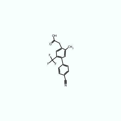 Cc1cc(-c2ccc(C#N)cc2)c(C(F)(F)F)cc1[CH]C(=O)O